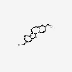 CCc1ccc2c(ccc3c4ccc(CC)cc4oc23)c1